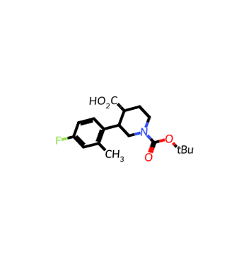 Cc1cc(F)ccc1C1CN(C(=O)OC(C)(C)C)CCC1C(=O)O